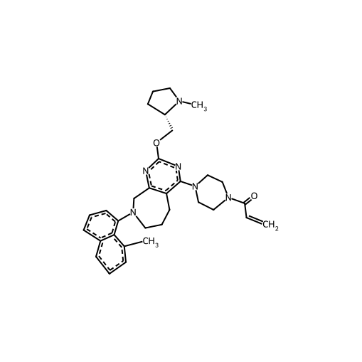 C=CC(=O)N1CCN(c2nc(OC[C@@H]3CCCN3C)nc3c2CCCN(c2cccc4cccc(C)c24)C3)CC1